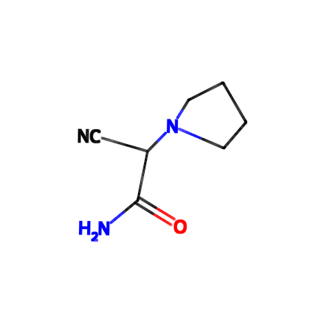 N#CC(C(N)=O)N1CCCC1